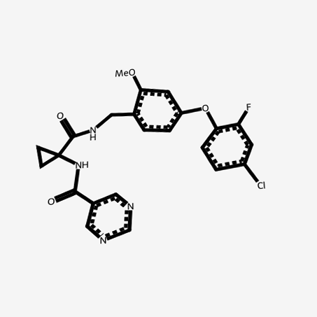 COc1cc(Oc2ccc(Cl)cc2F)ccc1CNC(=O)C1(NC(=O)c2cncnc2)CC1